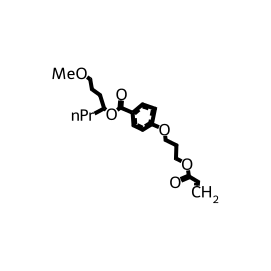 C=CC(=O)OCCCOc1ccc(C(=O)OC(CCC)CCCOC)cc1